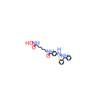 O=C(CCCCCCNC(=O)c1ccc(NC(=S)NC(c2ccccc2)c2ccccc2)cc1)NO